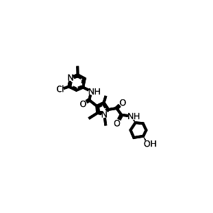 Cc1cc(NC(=O)c2c(C)c(C(=O)C(=O)N[C@H]3CC[C@@H](O)CC3)n(C)c2C)cc(Cl)n1